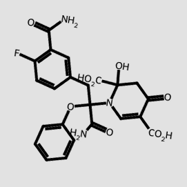 NC(=O)c1cc(CC(Oc2ccccc2)(C(N)=O)N2C=C(C(=O)O)C(=O)CC2(O)C(=O)O)ccc1F